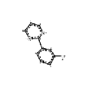 CCc1cccc(-c2ncccn2)c1